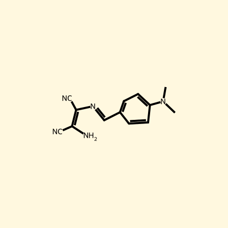 CN(C)c1ccc(C=NC(C#N)=C(N)C#N)cc1